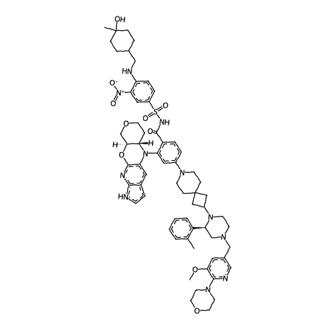 COc1cc(CN2CCN(C3CC4(CCN(c5ccc(C(=O)NS(=O)(=O)c6ccc(NCC7CCC(C)(O)CC7)c([N+](=O)[O-])c6)c(N6c7cc8cc[nH]c8nc7O[C@H]7COCC[C@@H]76)c5)CC4)C3)[C@H](c3ccccc3C)C2)cnc1N1CCOCC1